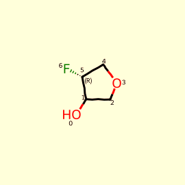 OC1COC[C@H]1F